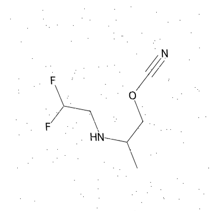 CC(COC#N)NCC(F)F